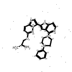 C[C@H](N)COc1ccc2ncc(-c3cc4c(N5CCN(c6ccccc6)CC5)nccc4o3)n2n1